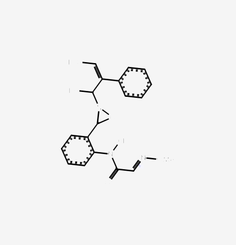 CC=C(c1ccccc1)C(C)N1OC1c1ccccc1N(C)C(=O)/C=N/OC